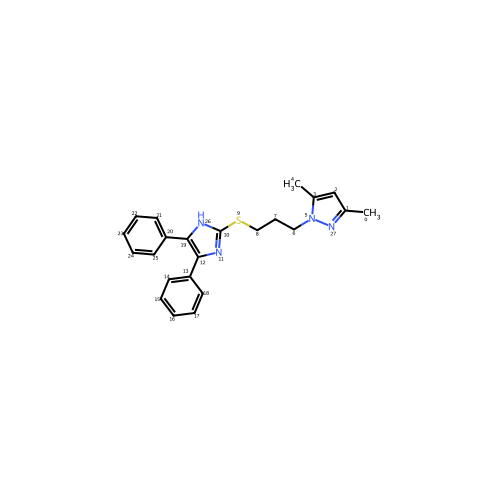 Cc1cc(C)n(CCCSc2nc(-c3ccccc3)c(-c3ccccc3)[nH]2)n1